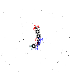 C[C@@H](C(=O)O)C1CCC(c2ccc(NC(=O)c3nnc(Nc4ccc(F)c(F)c4)o3)cc2)CC1